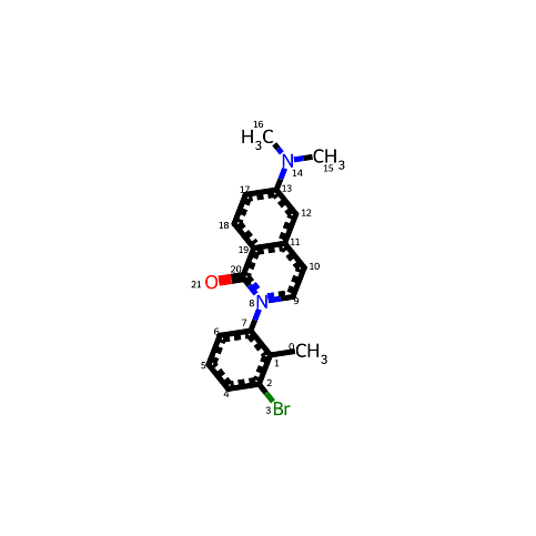 Cc1c(Br)cccc1-n1ccc2cc(N(C)C)ccc2c1=O